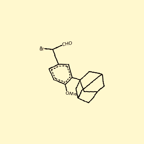 COc1ccc(C(Br)C=O)cc1C12CC3CC(CC(C3)C1)C2